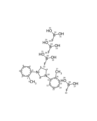 Cc1ccccc1N1CCN(c2ccccc2C)C1.OB(O)F.OB(O)F.OB(O)F.OB(O)F